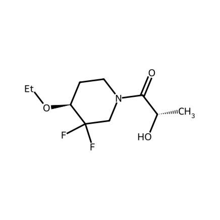 CCO[C@H]1CCN(C(=O)[C@H](C)O)CC1(F)F